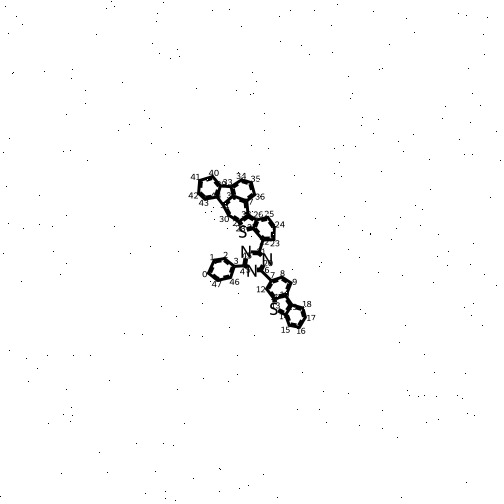 c1ccc(-c2nc(-c3ccc4c(c3)sc3ccccc34)nc(-c3cccc4c3sc3cc5c6c(cccc6c34)-c3ccccc3-5)n2)cc1